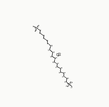 C[N+](C)(C)CCCCCCCCCCCCCCCCCCCC[N+](C)(C)C.[Cl-].[Cl-]